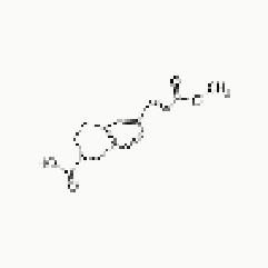 COC(=O)/C=C/c1ccc2c(c1)CCN(C(=O)O)C2